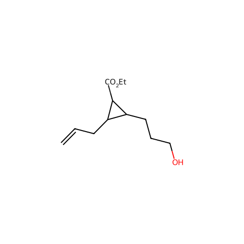 C=CCC1C(CCCO)C1C(=O)OCC